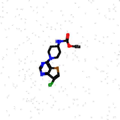 CC(C)(C)OC(=O)NC1CCN(c2ncnc3c(Cl)csc23)CC1